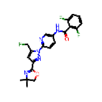 CC1(C)COC(c2cc(CF)n(-c3ccc(NC(=O)c4c(F)cccc4F)cn3)n2)=N1